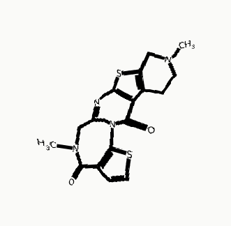 CN1CCc2c(sc3nc4n(c(=O)c23)-c2sccc2C(=O)N(C)C4)C1